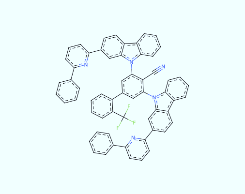 N#Cc1c(-n2c3ccccc3c3ccc(-c4cccc(-c5ccccc5)n4)cc32)cc(-c2ccccc2C(F)(F)F)cc1-n1c2ccccc2c2ccc(-c3cccc(-c4ccccc4)n3)cc21